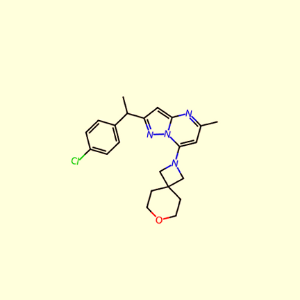 Cc1cc(N2CC3(CCOCC3)C2)n2nc(C(C)c3ccc(Cl)cc3)cc2n1